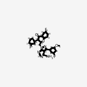 COc1cc(F)cc(-c2nn(Cc3oc4ccc(F)cc4c(=O)c3-c3cccc(F)c3)c3ncnc(N)c23)c1